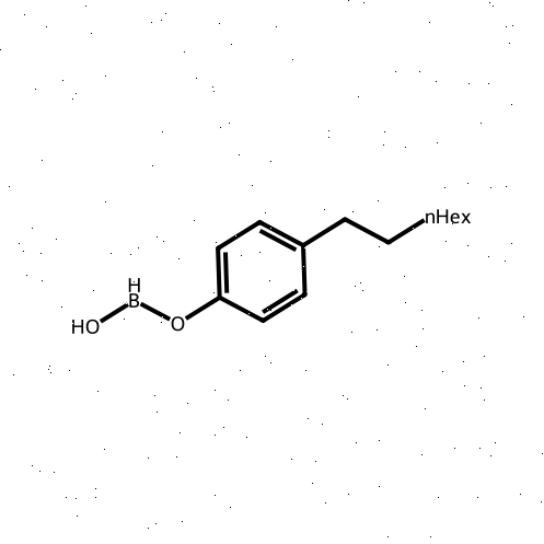 CCCCCCCCc1ccc(OBO)cc1